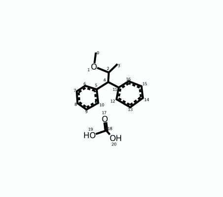 COC(C)C(c1ccccc1)c1ccccc1.O=C(O)O